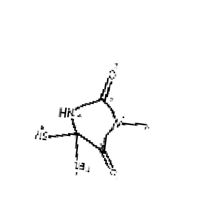 CN1C(=O)NC(S)(C(C)(C)C)C1=O